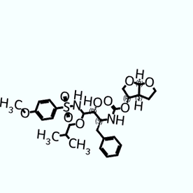 COc1ccc(S(=O)(=O)NC(OCC(C)C)[C@H](O)[C@H](Cc2ccccc2)NC(=O)O[C@H]2CO[C@H]3OCC[C@H]32)cc1